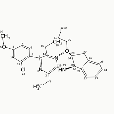 CCc1nc(-c2ccc(OC)cc2Cl)c(CC)nc1N[C@@H]1c2ccccc2C[C@@H]1OCCF